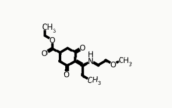 CCOC(=O)C1CC(=O)C(=C(CC)NCCOC)C(=O)C1